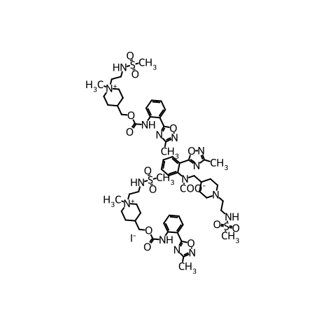 Cc1noc(-c2ccccc2N(CC2CCN(CCNS(C)(=O)=O)CC2)C(=O)[O-])n1.Cc1noc(-c2ccccc2NC(=O)OCC2CC[N+](C)(CCNS(C)(=O)=O)CC2)n1.Cc1noc(-c2ccccc2NC(=O)OCC2CC[N+](C)(CCNS(C)(=O)=O)CC2)n1.[I-]